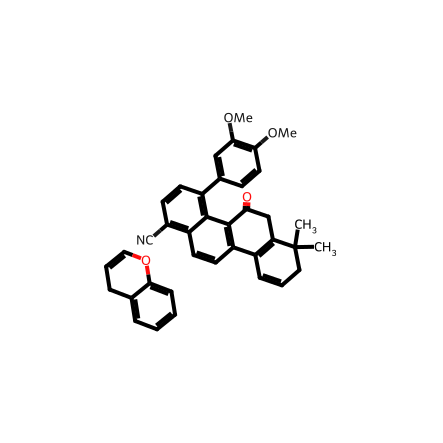 C1=COc2ccccc2C1.COc1ccc(-c2ccc(C#N)c3ccc4c(c23)C(=O)CC2=C4C=CCC2(C)C)cc1OC